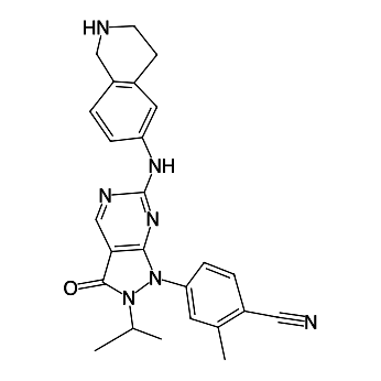 Cc1cc(-n2c3nc(Nc4ccc5c(c4)CCNC5)ncc3c(=O)n2C(C)C)ccc1C#N